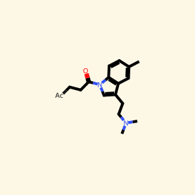 CC(=O)CCC(=O)n1cc(CCN(C)C)c2cc(C)ccc21